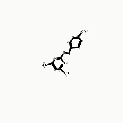 COc1ccc(CSc2nc(N)cc(O)n2)cc1